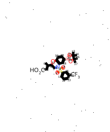 CC(CC(=O)O)C1CN(S(=O)(=O)c2cccc(C(F)(F)F)c2)c2cc(B3OC(C)(C)C(C)(C)O3)ccc2O1